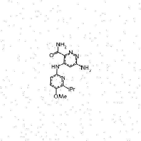 COc1ccc(Nc2cc(N)nnc2C(N)=O)nc1C(C)C